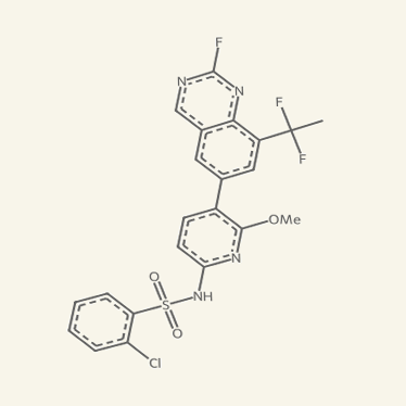 COc1nc(NS(=O)(=O)c2ccccc2Cl)ccc1-c1cc(C(C)(F)F)c2nc(F)ncc2c1